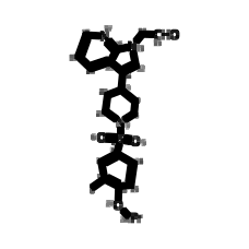 Cc1cc(S(=O)(=O)N2CCC(c3cn(CC=O)c4ncccc34)CC2)ccc1OC(C)C